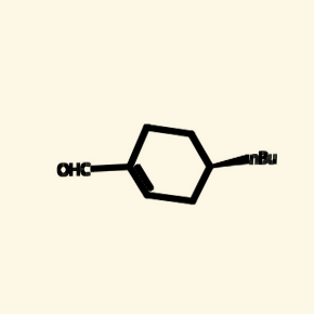 CCCC[C@H]1CC=C(C=O)CC1